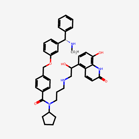 O=C(O)N[C@@H](c1ccccc1)c1cccc(OCc2ccc(C(=O)N(CCCNCC(O)c3ccc(O)c4[nH]c(=O)ccc34)C3CCCC3)cc2)c1